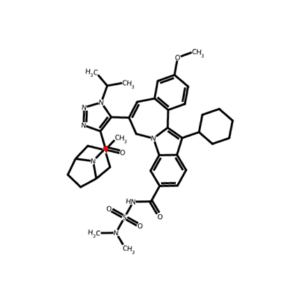 COc1ccc2c(c1)C=C(c1c(C(=O)N3C4CCC3CN(C)C4)nnn1C(C)C)Cn1c-2c(C2CCCCC2)c2ccc(C(=O)NS(=O)(=O)N(C)C)cc21